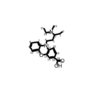 CCC(CCN1c2ccccc2Oc2cc(C(=O)O)ccc21)N(C)CC